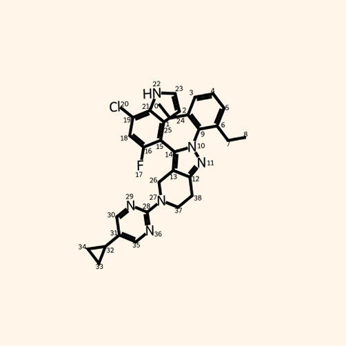 CCc1cccc(CC)c1-n1nc2c(c1-c1c(F)cc(Cl)c3[nH]ccc13)CN(c1ncc(C3CC3)cn1)CC2